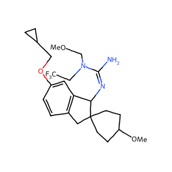 COCN(CC(F)(F)F)/C(N)=N\C1c2cc(OCC3CC3)ccc2CC12CCC(OC)CC2